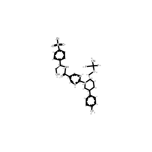 CCS(=O)(=O)c1ccc([C@H](CO)NC(=O)c2cnc(N3CC(c4ccc(C(F)(F)F)cc4)CC[C@H]3COC(F)(F)C#N)nc2)cc1